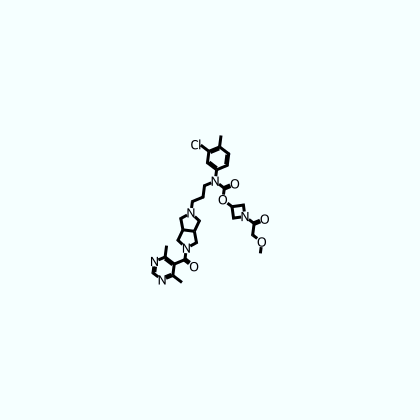 COCC(=O)N1CC(OC(=O)N(CCCN2CC3CN(C(=O)c4c(C)ncnc4C)CC3C2)c2ccc(C)c(Cl)c2)C1